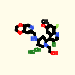 COc1cc(F)c2ncc(Cl)c(C3CC(NCc4cc5c(cn4)OCCO5)CCN3CCO)c2c1.Cl.Cl